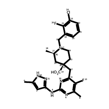 Cc1cc(Nc2nc(C)c(F)c(C[C@@]3(C(=O)O)CCN(Cc4cccc(Cl)c4F)[C@H](C)C3)n2)n[nH]1